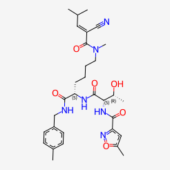 Cc1ccc(CNC(=O)[C@H](CCCCN(C)C(=O)C(C#N)=CC(C)C)NC(=O)[C@@H](NC(=O)c2cc(C)on2)[C@@H](C)O)cc1